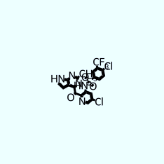 Cc1nc(C(=O)c2ncc(Cl)cc2NS(=O)(=O)c2ccc(Cl)c(C(F)(F)F)c2)c2cc[nH]c2n1